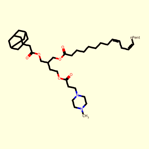 CCCCC/C=C\C/C=C\CCCCCCCC(=O)OCC(CCOC(=O)CCN1CCN(C)CC1)COC(=O)CC12CC3CC(CC(C3)C1)C2